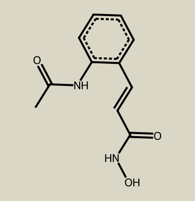 CC(=O)Nc1ccccc1/C=C/C(=O)NO